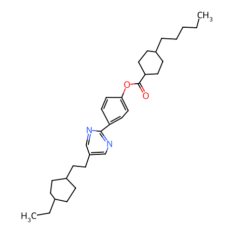 CCCCCC1CCC(C(=O)Oc2ccc(-c3ncc(CCC4CCC(CC)CC4)cn3)cc2)CC1